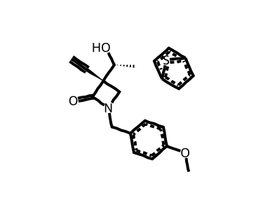 C#C[C@@]1([C@@H](C)O)CN(Cc2ccc(OC)cc2)C1=O.c1cc2ccc1s2